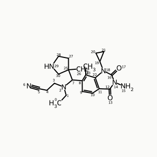 CCN(CCC#N)C(c1ccc2c(=O)n(N)c(=O)n(C3CC3)c2c1C)C1(C)CCNC1